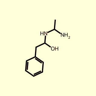 CC(N)NC(O)Cc1ccccc1